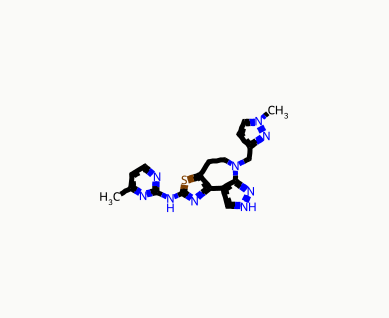 Cc1ccnc(Nc2nc3c(s2)CCN(Cc2ccn(C)n2)c2n[nH]cc2-3)n1